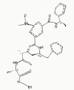 CCNC(=O)[C@@H](NC(=O)[C@H](C)NC[C@H](Cc1ccccc1)NC(=O)c1cc(C(=O)N[C@H](C)c2ccccc2)cc(N(C)CC)c1)C(C)C